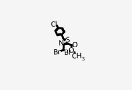 CCOC(=O)c1sc(-c2ccc(Cl)cc2)nc1C(Br)Br